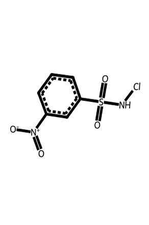 O=[N+]([O-])c1cccc(S(=O)(=O)NCl)c1